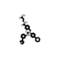 O=C(O)CCNC(=O)c1ccc(CN(C(=O)Nc2cccc(-c3ccsc3)c2)c2ccc(C3CCCCC3)cc2)cc1